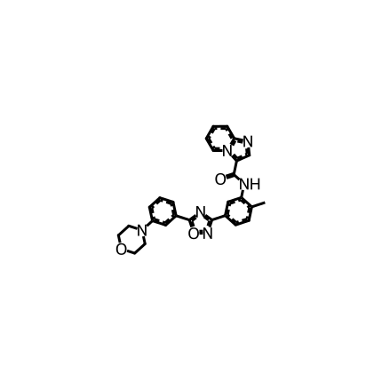 Cc1ccc(-c2noc(-c3cccc(N4CCOCC4)c3)n2)cc1NC(=O)c1cnc2ccccn12